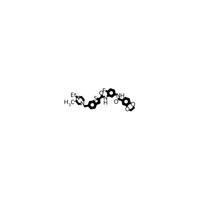 CCN1CCN(Cc2ccc3cc(C(=O)Nc4cc(NC(=O)c5ccc6c(c5)OCCO6)ccc4F)sc3c2)C[C@@H]1C